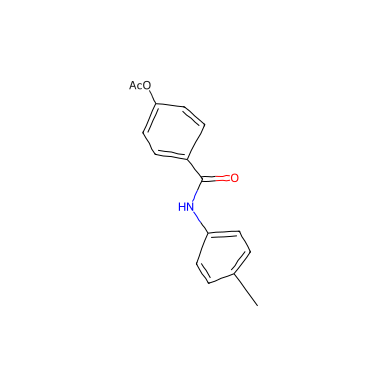 CC(=O)Oc1ccc(C(=O)Nc2ccc(C)cc2)cc1